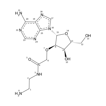 NCCNC(=O)CO[C@@H]1[C@H](O)[C@@H](CO)O[C@H]1n1cnc2c(N)ncnc21